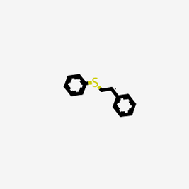 [CH](CSc1ccccc1)c1ccccc1